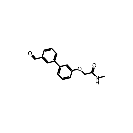 CNC(=O)COc1cccc(-c2cccc(C=O)c2)c1